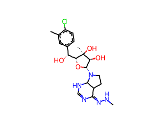 CN/N=C1/N=CNC2C1CCN2[C@@H]1O[C@H]([C@H](O)c2ccc(Cl)c(C)c2)[C@@](C)(O)[C@H]1O